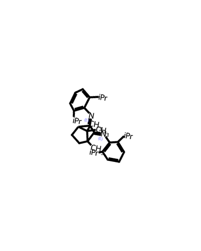 CC(C)c1cccc(C(C)C)c1/N=C1/C(=N/c2c(C(C)C)cccc2C(C)C)C2(C)CCC1C2(C)C